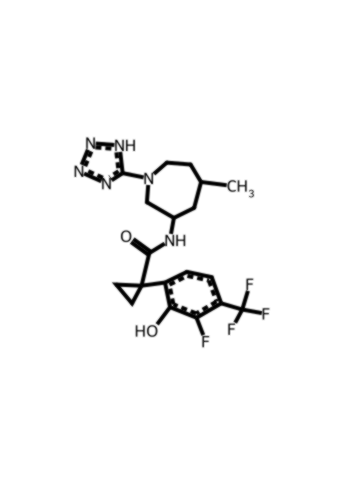 CC1CCN(c2nnn[nH]2)CC(NC(=O)C2(c3ccc(C(F)(F)F)c(F)c3O)CC2)C1